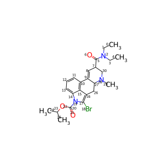 CCN(CC)C(=O)C1C=C2c3cccc4c3c(c(Br)n4C(=O)OC(C)C)CC2N(C)C1